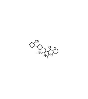 CCCCC1=C(Cc2ccc(-c3ccccc3C#N)cc2)C(C(=O)C2CCCCO2)NC(C)=N1